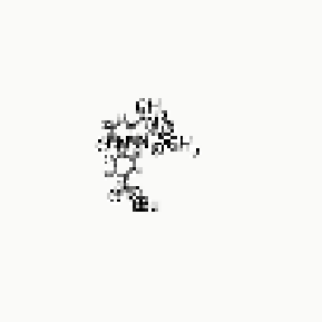 Cc1nc(S(C)(=O)=O)nc2c1ccc(=O)n2-c1ccc(C(=O)OC(C)(C)C)cc1